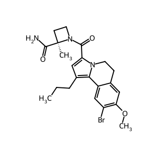 CCCc1cc(C(=O)N2CC[C@]2(C)C(N)=O)n2c1-c1cc(Br)c(OC)cc1CC2